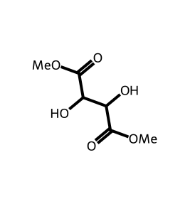 COC(=O)C(O)C(O)C(=O)OC